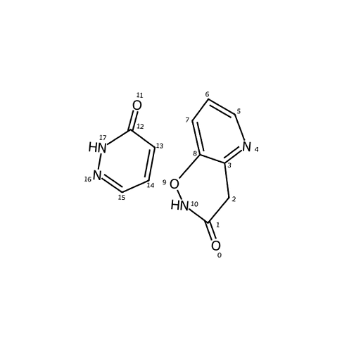 O=C1Cc2ncccc2ON1.O=c1cccn[nH]1